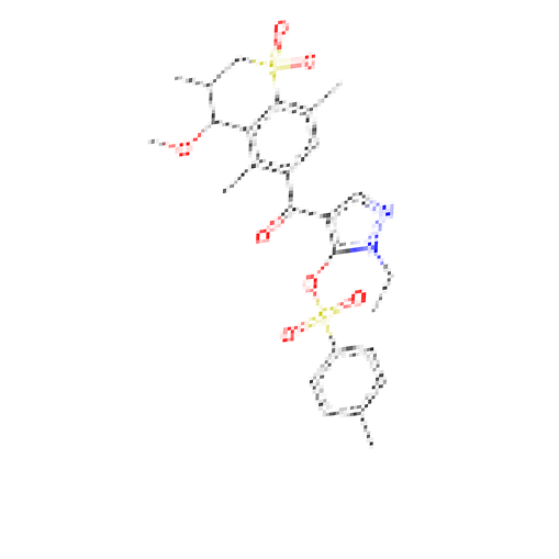 CCn1ncc(C(=O)c2cc(C)c3c(c2C)C(OC)C(C)CS3(=O)=O)c1OS(=O)(=O)c1ccc(C)cc1